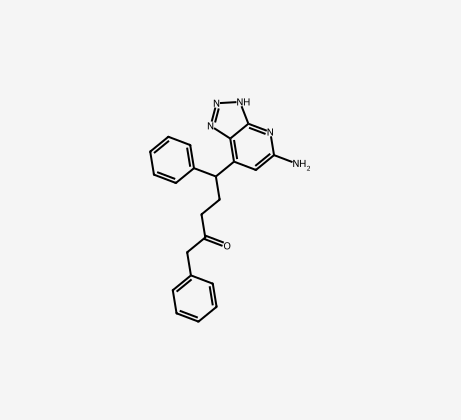 Nc1cc(C(CCC(=O)Cc2ccccc2)c2ccccc2)c2nn[nH]c2n1